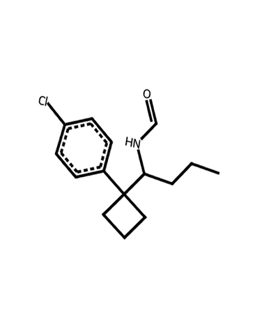 CCCC(NC=O)C1(c2ccc(Cl)cc2)CCC1